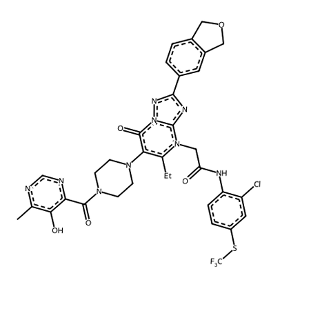 CCc1c(N2CCN(C(=O)c3ncnc(C)c3O)CC2)c(=O)n2nc(-c3ccc4c(c3)COC4)nc2n1CC(=O)Nc1ccc(SC(F)(F)F)cc1Cl